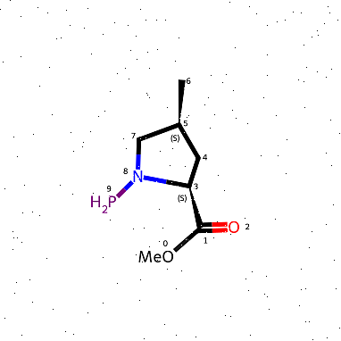 COC(=O)[C@@H]1C[C@H](C)CN1P